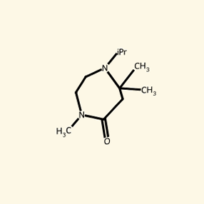 CC(C)N1CCN(C)C(=O)CC1(C)C